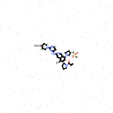 C=CC(=O)N1CCC[C@@H]1c1cc(N2CC[C@H](CS(C)(=O)=O)C2)c2cnc(Nc3ccnc(N4CC[C@@H](OC)[C@@H](F)C4)n3)cc2c1C(C)C